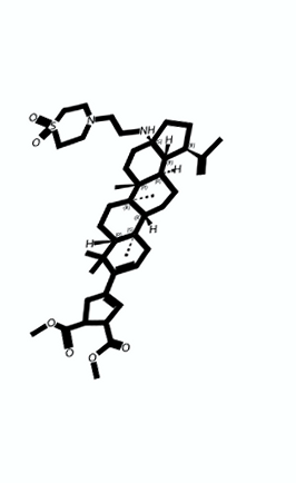 C=C(C)[C@@H]1CC[C@]2(NCCN3CCS(=O)(=O)CC3)CC[C@]3(C)[C@H](CC[C@@H]4[C@@]5(C)CC=C(C6=CC(C(=O)OC)C(C(=O)OC)C6)C(C)(C)[C@@H]5CC[C@]43C)[C@@H]12